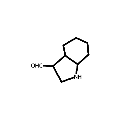 O=CC1CNC2CCCCC12